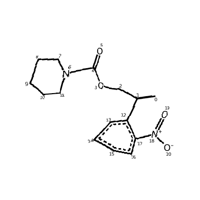 CC(COC(=O)N1CCCCC1)c1ccccc1[N+](=O)[O-]